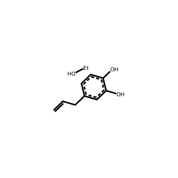 C=CCc1ccc(O)c(O)c1.CCO